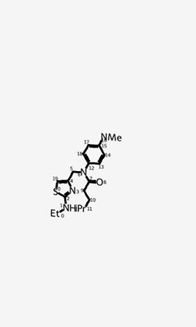 CCNc1nc(CN(C(=O)CCC(C)C)c2ccc(NC)cc2)cs1